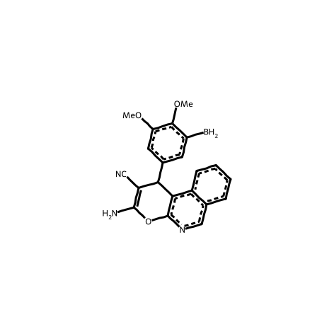 Bc1cc(C2C(C#N)=C(N)Oc3ncc4ccccc4c32)cc(OC)c1OC